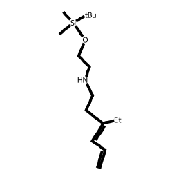 C=C/C=C(\CC)CCNCCO[Si](C)(C)C(C)(C)C